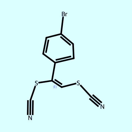 N#CS/C=C(/SC#N)c1ccc(Br)cc1